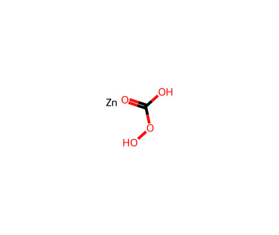 O=C(O)OO.[Zn]